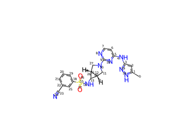 Cc1cc(Nc2ccnc(N3C[C@@H]4C(NS(=O)(=O)c5cccc(C#N)c5)[C@@H]4C3)n2)n[nH]1